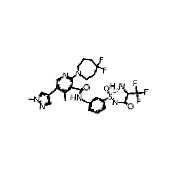 Cc1c(-c2cnn(C)c2)cnc(N2CCCC(F)(F)CC2)c1C(=O)Nc1cccc([S@@](C)(=O)=NC(=O)C(N)C(F)(F)F)c1